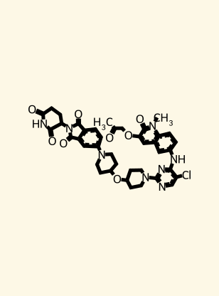 CC(=O)COc1cc2cc(Nc3nc(N4CCC(OC5CCN(c6ccc7c(c6)C(=O)N(C6CCC(=O)NC6=O)C7=O)CC5)CC4)ncc3Cl)ccc2n(C)c1=O